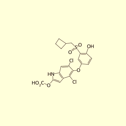 O=C(O)Oc1cc2c(Cl)c(Oc3ccc(O)c(S(=O)(=O)CC4CCC4)c3)c(Cl)cc2[nH]1